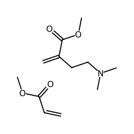 C=C(CCN(C)C)C(=O)OC.C=CC(=O)OC